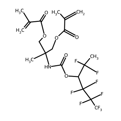 C=C(C)C(=O)OCC(C)(COC(=O)C(=C)C)NC(=O)OC(C(C)(F)F)C(F)(F)C(F)(F)C(F)(F)F